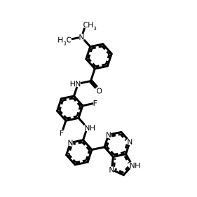 CN(C)c1cccc(C(=O)Nc2ccc(F)c(Nc3ncccc3-c3ncnc4[nH]cnc34)c2F)c1